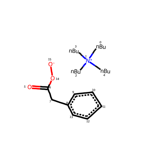 CCCC[N+](CCCC)(CCCC)CCCC.O=C(Cc1ccccc1)O[O-]